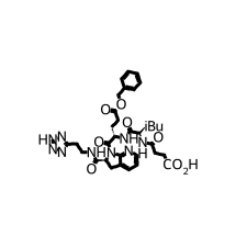 CC[C@H](C)[C@H](NC(=O)CCC(=O)O)C(=O)N[C@@H](CCC(=O)OCc1ccccc1)C(=O)N1c2ncccc2C[C@H]1C(=O)NCCc1nn[nH]n1